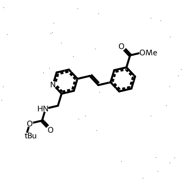 COC(=O)c1cccc(/C=C/c2ccnc(CNC(=O)OC(C)(C)C)c2)c1